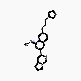 O/N=c1\cc(-c2cc3cccn3cn2)oc2ccc(OCCn3ccnc3)cc12